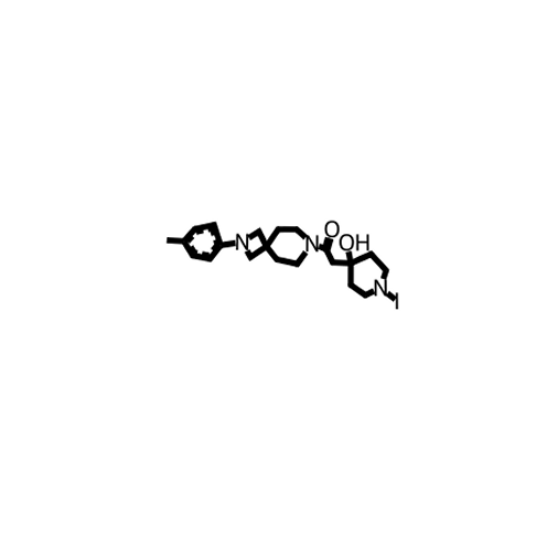 Cc1ccc(N2CC3(CCN(C(=O)CC4(O)CCN(I)CC4)CC3)C2)cc1